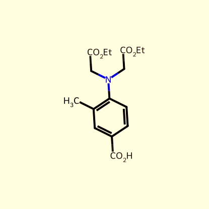 CCOC(=O)CN(CC(=O)OCC)c1ccc(C(=O)O)cc1C